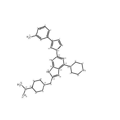 Cc1cccc(-c2ccn(-c3nc(N4CCOCC4)c4nc(CN5CCC(N(C)C)CC5)[nH]c4n3)n2)c1